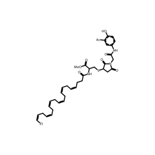 CC/C=C\C/C=C\C/C=C\C/C=C\C/C=C\C/C=C\CCC(=O)NC(CSC1CC(=O)N(CC(=O)Nc2ccc(O)c(C(C)=O)c2)C1=O)C(=O)OC